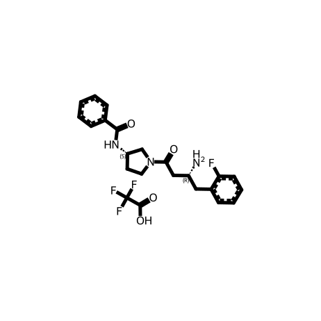 N[C@@H](CC(=O)N1CC[C@H](NC(=O)c2ccccc2)C1)Cc1ccccc1F.O=C(O)C(F)(F)F